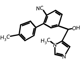 Cc1ccc(-c2cc(C(O)c3cncn3C)ccc2C#N)cc1